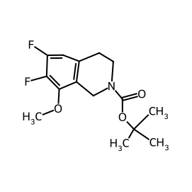 COc1c(F)c(F)cc2c1CN(C(=O)OC(C)(C)C)CC2